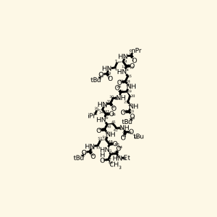 CCCC(=O)N[C@@H](CCNC(=O)OC(C)(C)C)C(=O)NCC(=O)N[C@@H](CCNC(=O)OC(C)(C)C)C(=O)NCC(=O)N[C@@H](CC(C)C)C(=O)N[C@@H](CCNC(=O)OC(C)(C)C)C(=O)N[C@@H](CCNC(=O)OC(C)(C)C)C(=O)N[C@H](C(=O)NCC)[C@@H](C)O